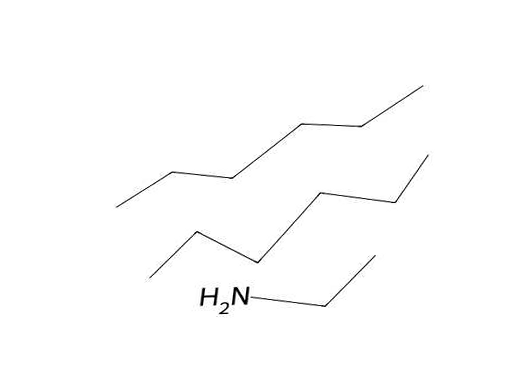 CCCCCC.CCCCCC.CCN